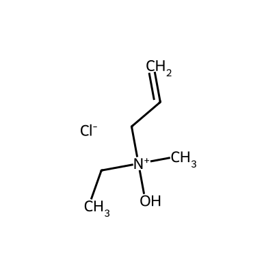 C=CC[N+](C)(O)CC.[Cl-]